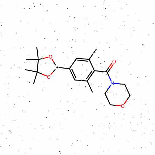 Cc1cc(B2OC(C)(C)C(C)(C)O2)cc(C)c1C(=O)N1CCOCC1